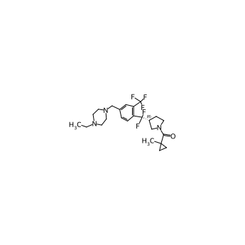 CCN1CCN(Cc2ccc(C(F)(F)[C@@H]3CCN(C(=O)C4(C)CC4)C3)c(C(F)(F)F)c2)CC1